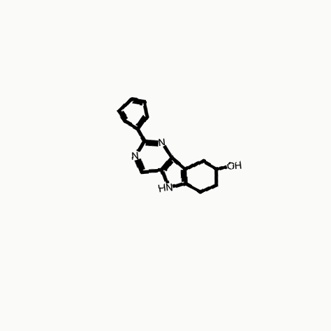 OC1CCc2[nH]c3cnc(-c4ccccc4)nc3c2C1